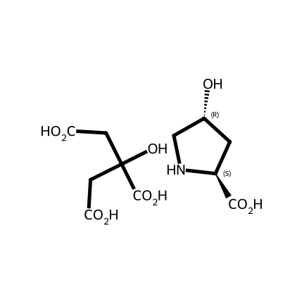 O=C(O)CC(O)(CC(=O)O)C(=O)O.O=C(O)[C@@H]1C[C@@H](O)CN1